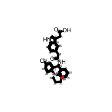 O=C(O)Cc1c[nH]c2ccc(CC(=O)NC(c3ccccc3)c3cc(Cl)ccc3N3CCCCC3)cc12